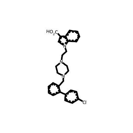 O=C(O)c1cn(CCN2CCN(Cc3ccccc3-c3ccc(Cl)cc3)CC2)c2ccccc12